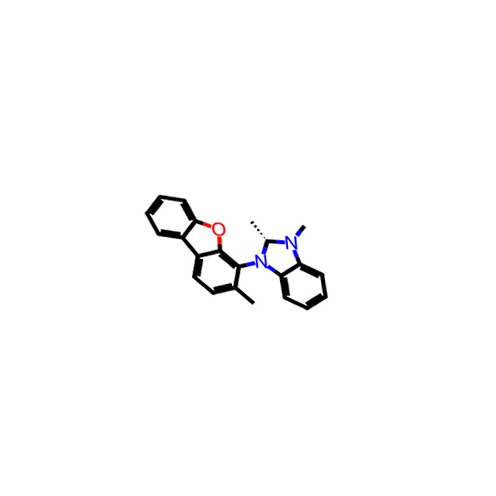 Cc1ccc2c(oc3ccccc32)c1N1c2ccccc2N(C)[C@H]1C